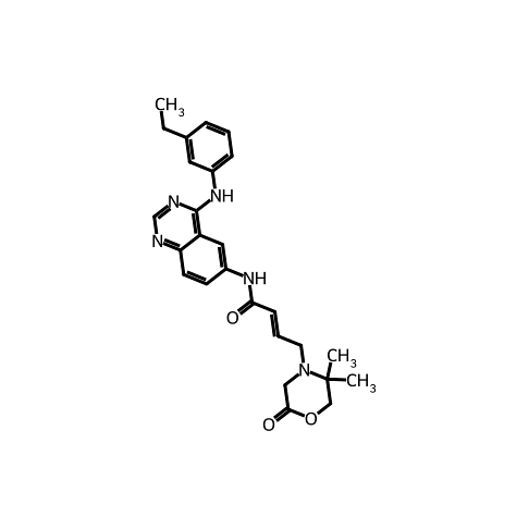 CCc1cccc(Nc2ncnc3ccc(NC(=O)C=CCN4CC(=O)OCC4(C)C)cc23)c1